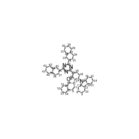 C1=CC2c3c(-n4c5ccccc5c5ccccc54)ccc(-c4nc(-c5ccc6ccccc6c5)nc(-c5ccc6ccccc6c5)n4)c3OC2c2ccccc21